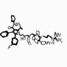 CC(C)c1c(C(=O)Nc2ccccc2)c(-c2ccccc2)c(-c2ccc(F)cc2)n1CC[C@@H](O)C[C@@H](O)CC(=O)N[C@H](CCCNC(=N)N)C(=O)O